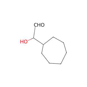 O=CC(O)C1CCCCCC1